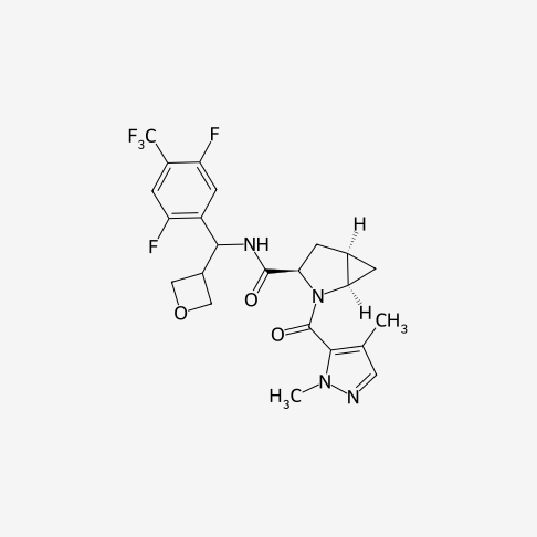 Cc1cnn(C)c1C(=O)N1[C@@H](C(=O)NC(c2cc(F)c(C(F)(F)F)cc2F)C2COC2)C[C@H]2C[C@H]21